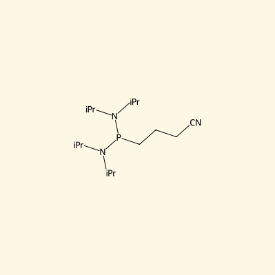 CC(C)N(C(C)C)P(CCCC#N)N(C(C)C)C(C)C